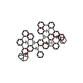 c1ccc(-c2cccc(-c3ccccc3)c2-c2c(N3C4CC5CC(C4)CC3C5)cc3c4c2Nc2cc5c(cc2B4c2ccccc2N3c2c(-c3ccccc3)cccc2-c2ccccc2)B2c3ccccc3N(c3c(-c4ccccc4)cccc3-c3ccccc3)c3cc(N4C6CC7CC4C4C(C6)C74)cc(c32)N5c2ccccc2)cc1